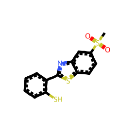 CS(=O)(=O)c1ccc2sc(-c3ccccc3S)nc2c1